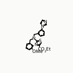 CCOC(=O)c1csc(N(Cc2cccc(OC)c2)Cc2cccc(-n3ccnc3)c2)n1